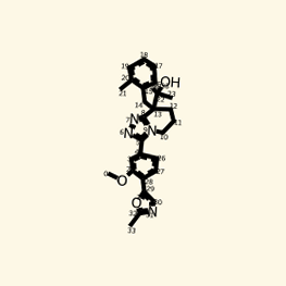 COc1cc(-c2nnc3n2CCCC3(Cc2ccccc2C)C(C)(C)O)ccc1-c1cnc(C)o1